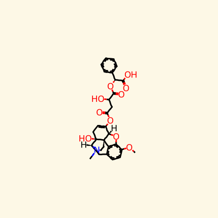 COc1ccc2c3c1O[C@H]1C(OC(=O)CC(O)C(=O)O[C@H](C(=O)O)c4ccccc4)=CC[C@@]4(O)[C@@H](C2)N(C)CC[C@]314